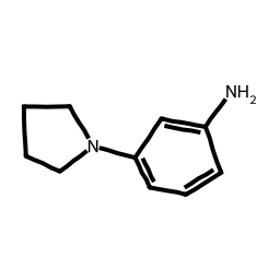 Nc1cccc(N2CCCC2)c1